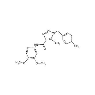 COc1ccc(NC(=O)c2nnn(Cc3ccc(C)cc3)c2C)cc1OC